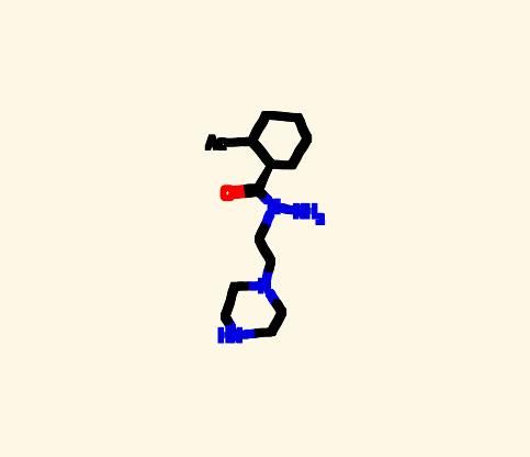 CC(=O)C1CCCC[C@H]1C(=O)N(N)CCN1CCNCC1